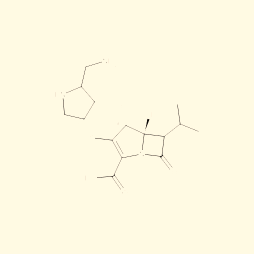 CC(C)C1C(=O)N2C(C(=O)O)=C(S[C@@H]3CNC(CN)C3)[C@H](C)[C@H]12